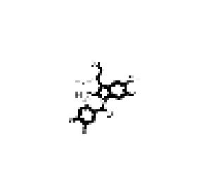 CCC(C)C[C@H](C(=O)O)c1c(C)n(C(=O)c2ccc(F)c(F)c2)c2cc(F)c(O)cc12